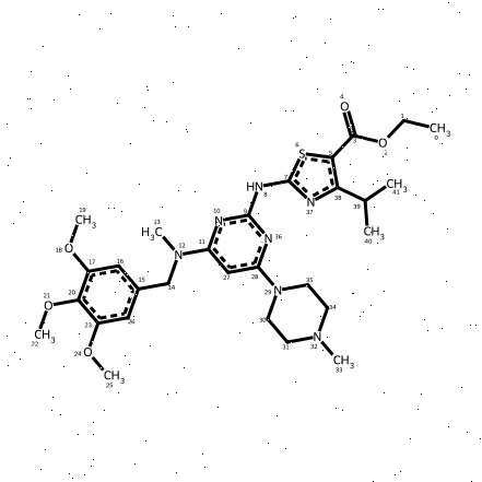 CCOC(=O)c1sc(Nc2nc(N(C)Cc3cc(OC)c(OC)c(OC)c3)cc(N3CCN(C)CC3)n2)nc1C(C)C